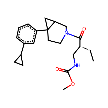 CC[C@H](CNC(=O)OC)C(=O)N1CCC2(c3cccc(C4CC4)c3)CC2C1